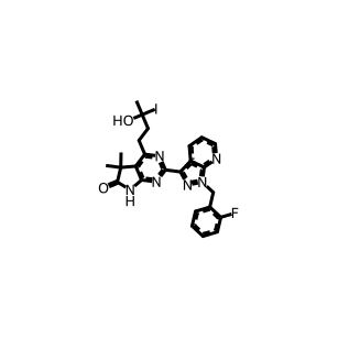 CC(O)(I)CCc1nc(-c2nn(Cc3ccccc3F)c3ncccc23)nc2c1C(C)(C)C(=O)N2